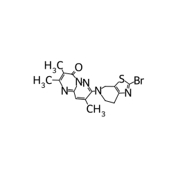 Cc1cc2nc(C)c(C)c(=O)n2nc1N1CCc2nc(Br)sc2C1